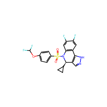 O=S(=O)(c1ccc(OC(F)F)cc1)N1c2cc(F)c(F)cc2-c2[nH]ncc2[C@H]1C1CC1